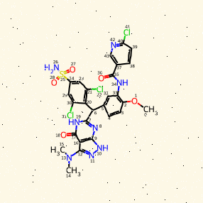 COc1ccc(C(c2nc3[nH]nc(N(C)C)c3c(=O)[nH]2)c2c(Cl)cc(S(N)(=O)=O)cc2Cl)cc1NC(=O)c1ccc(Cl)nc1